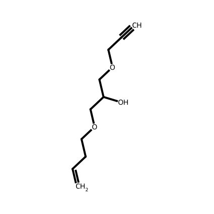 C#CCOCC(O)COCCC=C